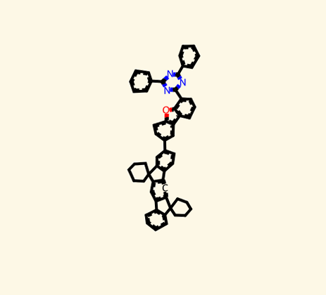 c1ccc(-c2nc(-c3ccccc3)nc(-c3cccc4c3oc3ccc(-c5ccc6c(c5)C5(CCCCC5)c5cc7c(cc5-6)C5(CCCCC5)c5ccccc5-7)cc34)n2)cc1